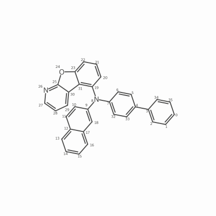 c1ccc(-c2ccc(N(c3ccc4ccccc4c3)c3cccc4oc5ncccc5c34)cc2)cc1